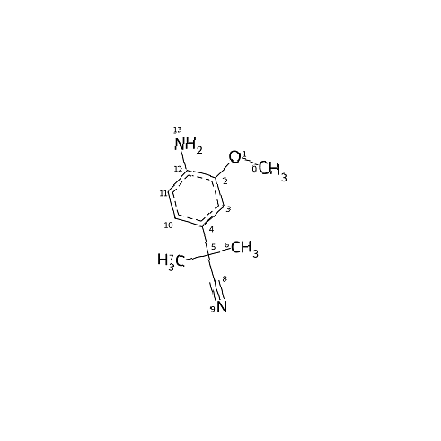 COc1cc(C(C)(C)C#N)ccc1N